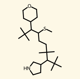 CSC(CCC(C)(C)C(C1CCNC1)C(C)(C)C)C(C1CCOCC1)C(C)(C)C